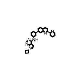 c1ccc(-c2ccc3ccc(-c4cccc(Nc5ncnc6c5ccn6C5CCC5)c4)cc3n2)nc1